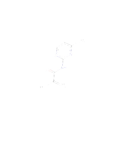 C=C(C)C(=O)Nc1nccc(C)n1